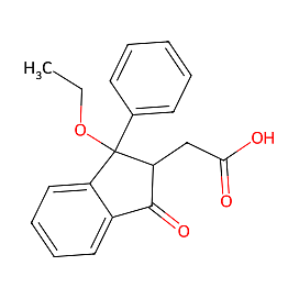 CCOC1(c2ccccc2)c2ccccc2C(=O)C1CC(=O)O